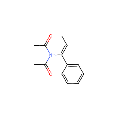 CC=C(c1ccccc1)N(C(C)=O)C(C)=O